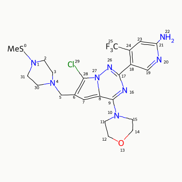 CSN1CCN(Cc2cc3c(N4CCOCC4)nc(-c4cnc(N)cc4C(F)(F)F)nn3c2Cl)CC1